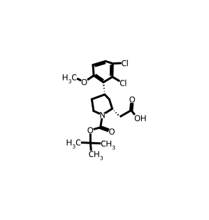 COc1ccc(Cl)c(Cl)c1[C@H]1CCN(C(=O)OC(C)(C)C)[C@@H](CC(=O)O)C1